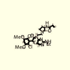 C=CC(=O)N[C@H]1CCN(CCn2c(=O)c(-c3c(Cl)c(OC)cc(OC)c3Cl)cc3cnc(NCC)nc32)C1